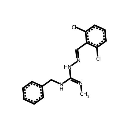 C/N=C(\NCc1ccccc1)N/N=C/c1c(Cl)cccc1Cl